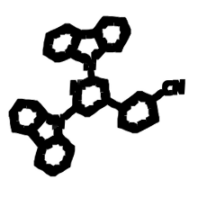 N#Cc1cccc(-c2cc(-n3c4ccccc4c4ccccc43)nc(-n3c4ccccc4c4ccccc43)c2)c1